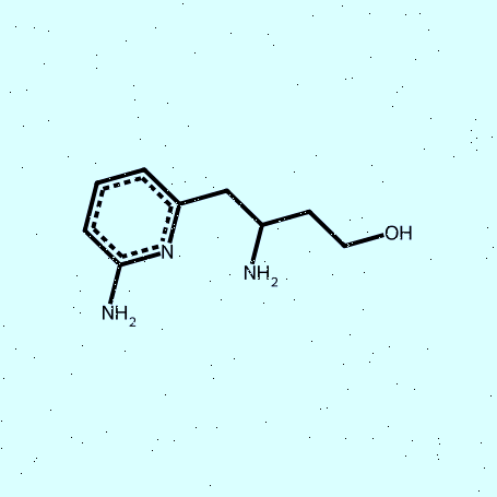 Nc1cccc(CC(N)CCO)n1